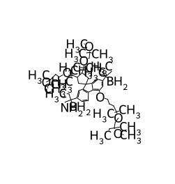 BC(C)(CC)c1cc(OCCCC(C)(C)OCC(C)(CC)OC)c2c(c1)C1(CC(C(C)(C)OCCC(C)(C)OC)C(C(C)(C)OCC(C)(C)OC)C1)c1cc(C(B)(CC)CN)ccc1-2